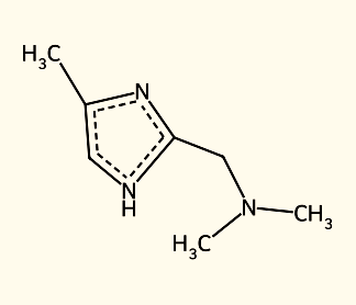 Cc1c[nH]c(CN(C)C)n1